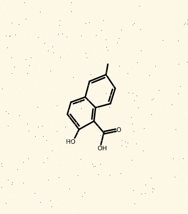 Cc1ccc2c(C(=O)O)c(O)ccc2c1